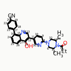 CCC(=O)N1[C@H](C)CN(c2ccc(-c3cnc4c(-c5ccc(C#N)cc5)cccc4c3O)cn2)C[C@@H]1C